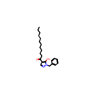 CCCCCCCCCCCC(=O)c1cnn(Cc2ccccc2)c1O